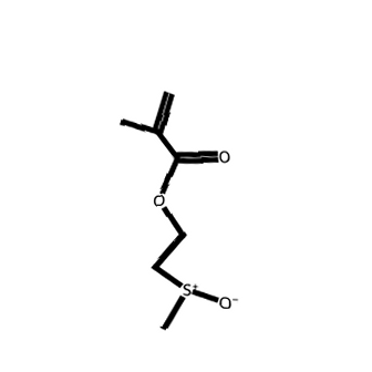 C=C(C)C(=O)OCC[S+](C)[O-]